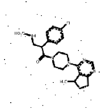 CC1CCc2ncnc(N3CCN(C(=O)C(CNC(=O)O)c4ccc(Cl)cc4)CC3)c21